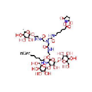 CCCCCCCCCCCCCCCC(=O)N[C@H]1[C@H](OCCNC(=O)CN(CC(=O)NCCCCCC(=O)ON2C(=O)CCC2=O)CC(=O)NCCO[C@@H]2O[C@@H](C)[C@@H](O)[C@@H](O)[C@@H]2O)O[C@H](CO[C@H]2O[C@H](CO)[C@@H](O)[C@H](O)[C@@H]2O)[C@@H](O)[C@@H]1O[C@H]1O[C@H](CO)[C@@H](O)[C@H](O)[C@@H]1O